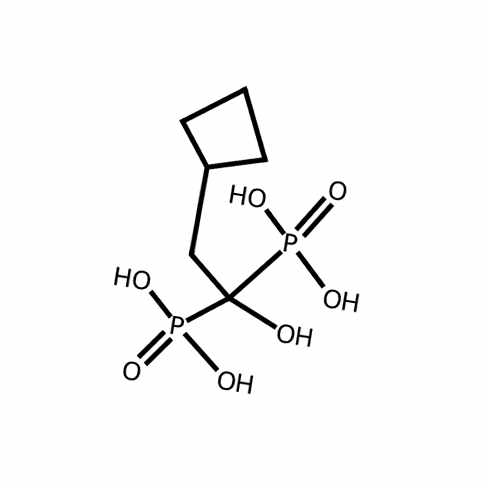 O=P(O)(O)C(O)(CC1CCC1)P(=O)(O)O